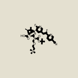 C[C@H]1C2(C)C3[C@@]1(C(=O)O)SC(N(COCC[Si](C)(C)C)C(=O)OC(C)(C)C)=N[C@@]32c1cc(/C=C(\F)c2ccc(C#N)cn2)cnc1F